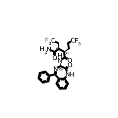 NC(=O)[C@@H](CC(F)(F)F)[C@@H](CCC(F)(F)F)C(=O)N[C@H]1N=C(c2ccccc2)c2ccccc2NC1=O